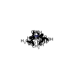 CCCN1/C(=C/C=C/C2=[N+](CCCS(=O)(=O)O)c3c(cc(-c4cc(C(=O)NCC)nc(C(=O)NCC)c4)c4ccccc34)C2(C)C)C(C)(C)c2cc(-c3cc(C(=O)NCCS(=O)(=O)O)nc(C(=O)NCC(=O)O)c3)c3ccccc3c21